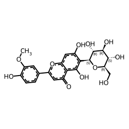 COc1cc(-c2cc(=O)c3c(O)c([C@@H]4O[C@H](CO)[C@@H](O)[C@H](O)[C@H]4O)c(O)cc3o2)ccc1O